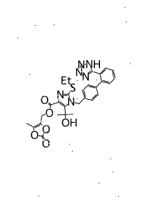 CCSc1nc(C(=O)OCc2oc(=O)oc2C)c(C(C)(C)O)n1Cc1ccc(-c2ccccc2-c2nnn[nH]2)cc1